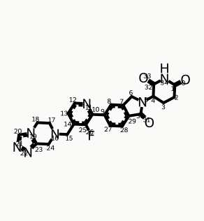 O=C1CCC(N2Cc3cc(-c4nccc(CN5CCn6cnnc6C5)c4F)ccc3C2=O)C(=O)N1